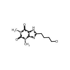 Cn1c(=O)c2[nH]c(CCCCCl)nc2n(C)c1=O